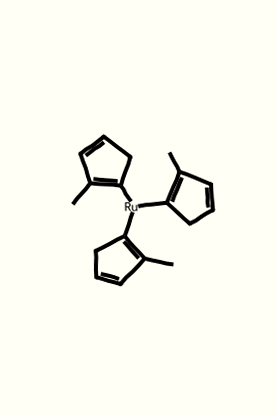 CC1=[C]([Ru]([C]2=C(C)C=CC2)[C]2=C(C)C=CC2)CC=C1